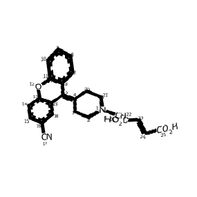 CN1CCC(=C2c3ccccc3Oc3ccc(C#N)cc32)CC1.O=C(O)/C=C/C(=O)O